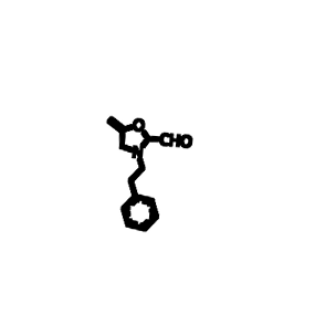 C=C1CN(CCc2ccccc2)C(C=O)O1